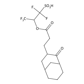 O=C(CCC1CC2CCCC(C2)C1=O)OC(C(F)(F)F)C(F)(F)S(=O)(=O)O